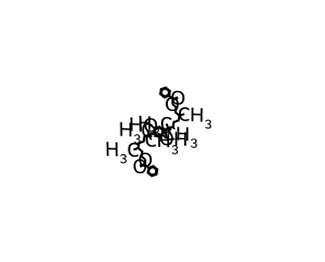 CC(CCCC(C)(C)c1cc(O)c(C(C)(C)CCCC(C)CCOC(=O)c2ccccc2)cc1O)CCOC(=O)c1ccccc1